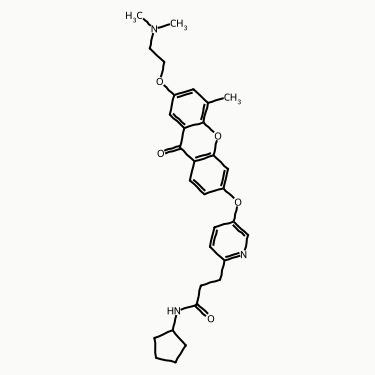 Cc1cc(OCCN(C)C)cc2c(=O)c3ccc(Oc4ccc(CCC(=O)NC5CCCC5)nc4)cc3oc12